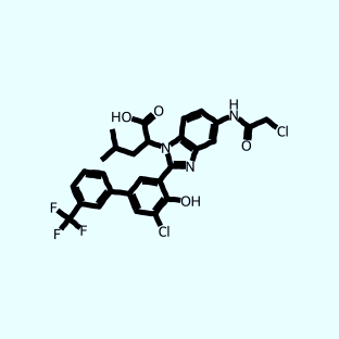 CC(C)CC(C(=O)O)n1c(-c2cc(-c3cccc(C(F)(F)F)c3)cc(Cl)c2O)nc2cc(NC(=O)CCl)ccc21